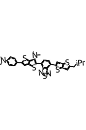 CC(C)Cc1cc2sc(-c3ccc(-c4sc5cc(-c6ccc(N(C)C)cc6)sc5c4N(C)C)c4nsnc34)cc2s1